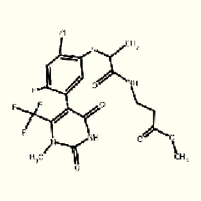 COC(=O)CCNC(=O)C(C)Sc1cc(-c2c(C(F)(F)F)n(C)c(=O)[nH]c2=O)c(F)cc1Cl